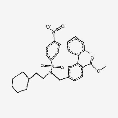 COC(=O)c1ccc(CN(CCC2CCCCC2)S(=O)(=O)c2ccc([N+](=O)[O-])cc2)cc1-c1ccccc1C